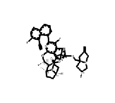 C#Cc1c(F)ccc2cccc(-c3nc4c5c(nc(OCC67CC(=C)CN6C[C@H](F)C7)nc5c3F)N3C[C@H]5CC[C@@H]([C@H]3[C@H](C)O4)N5C(=O)OC(C)(C)C)c12